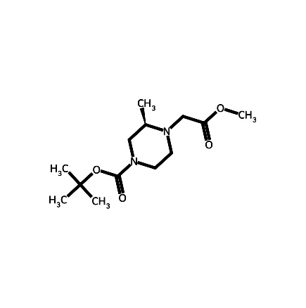 COC(=O)CN1CCN(C(=O)OC(C)(C)C)C[C@H]1C